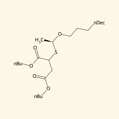 CCCCCCCCCCCCCO[C@H](C)SC(CC(=O)OCCCC)C(=O)OCCCC